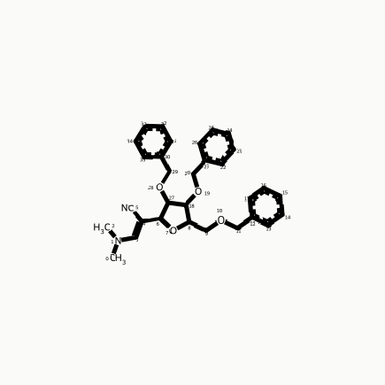 CN(C)C=C(C#N)C1OC(COCc2ccccc2)C(OCc2ccccc2)C1OCc1ccccc1